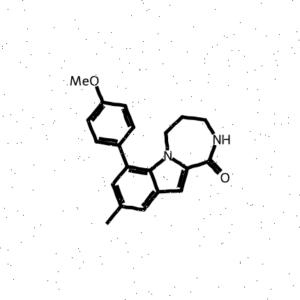 COc1ccc(-c2cc(C)cc3cc4n(c23)CCCNC4=O)cc1